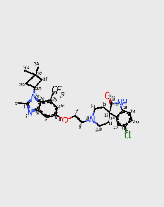 Cc1nc2cc(OCCN3CCC4(CC3)C(=O)Nc3ccc(Cl)cc34)cc(C(F)(F)F)c2n1C1CC(C)(C)C1